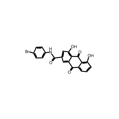 O=C(Nc1ccc(Br)cc1)c1cc(O)c2c(c1)C(=O)c1cccc(O)c1C2=O